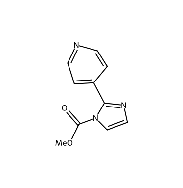 COC(=O)n1ccnc1-c1ccncc1